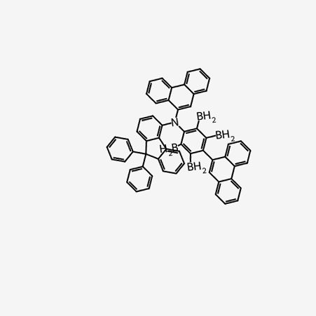 Bc1c(B)c(N(c2cccc3c2-c2ccccc2C3(c2ccccc2)c2ccccc2)c2cc3ccccc3c3ccccc23)c(B)c(B)c1-c1cc2ccccc2c2ccccc12